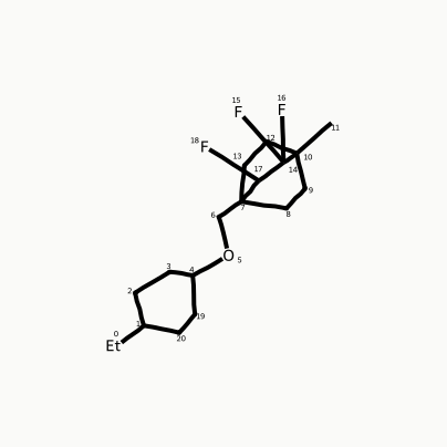 CCC1CCC(OCC23CCC(C)(CC2)C(F)(F)C3F)CC1